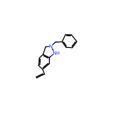 C=Cc1ccc2c(c1)NN(Cc1ccccc1)C2